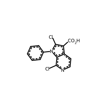 O=C(O)c1c(Cl)n(-c2ccccc2)c2c(Cl)nccc12